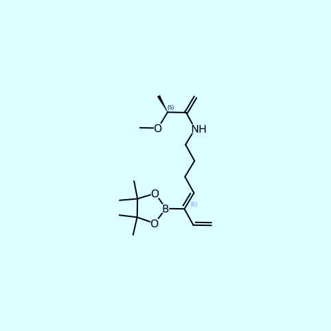 C=C/C(=C/CCCNC(=C)[C@H](C)OC)B1OC(C)(C)C(C)(C)O1